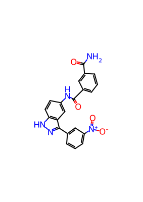 NC(=O)c1cccc(C(=O)Nc2ccc3[nH]nc(-c4cccc([N+](=O)[O-])c4)c3c2)c1